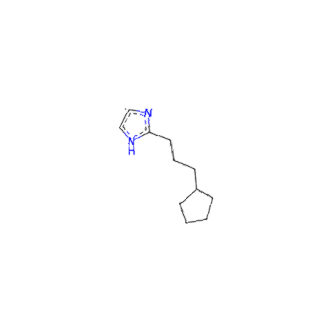 [c]1c[nH]c(CCCC2CCCC2)n1